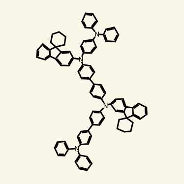 c1ccc(N(c2ccccc2)c2ccc(-c3ccc(N(c4ccc(-c5ccc(N(c6ccc(N(c7ccccc7)c7ccccc7)cc6)c6ccc7c(c6)C6(CCCCC6)c6ccccc6-7)cc5)cc4)c4ccc5c(c4)C4(CCCCC4)c4ccccc4-5)cc3)cc2)cc1